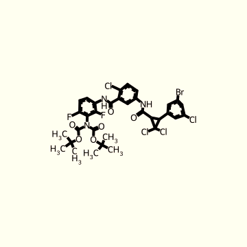 CC(C)(C)OC(=O)N(C(=O)OC(C)(C)C)c1c(F)ccc(NC(=O)c2cc(NC(=O)C3C(c4cc(Cl)cc(Br)c4)C3(Cl)Cl)ccc2Cl)c1F